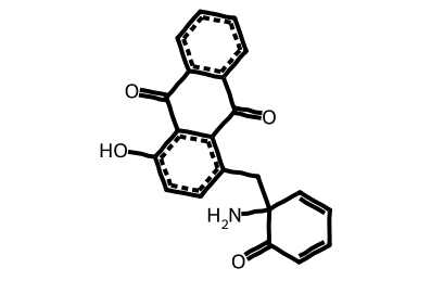 NC1(Cc2ccc(O)c3c2C(=O)c2ccccc2C3=O)C=CC=CC1=O